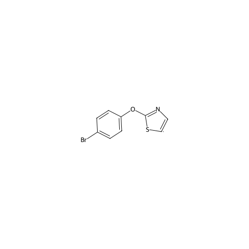 Brc1ccc(Oc2nc[c]s2)cc1